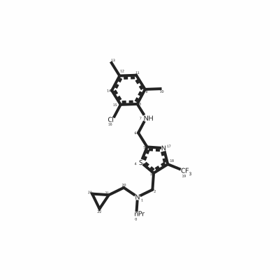 CCCN(Cc1sc(CNc2c(C)cc(C)cc2Cl)nc1C(F)(F)F)CC1CC1